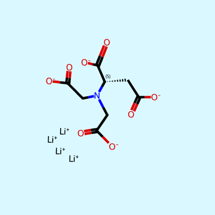 O=C([O-])C[C@@H](C(=O)[O-])N(CC(=O)[O-])CC(=O)[O-].[Li+].[Li+].[Li+].[Li+]